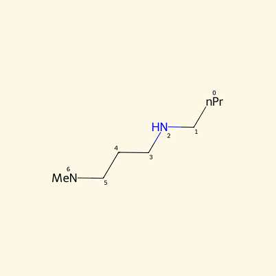 CCCCNCCCNC